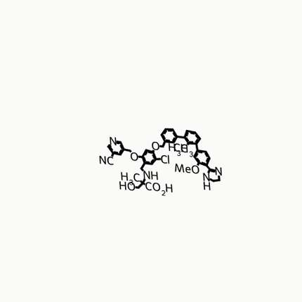 COc1cc(-c2cccc(-c3cccc(COc4cc(OCc5cncc(C#N)c5)c(CNC(C)(CO)C(=O)O)cc4Cl)c3C)c2C)ccc1C1=NCCN1